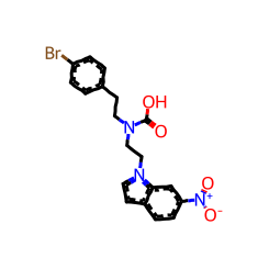 O=C(O)N(CCc1ccc(Br)cc1)CCn1ccc2ccc([N+](=O)[O-])cc21